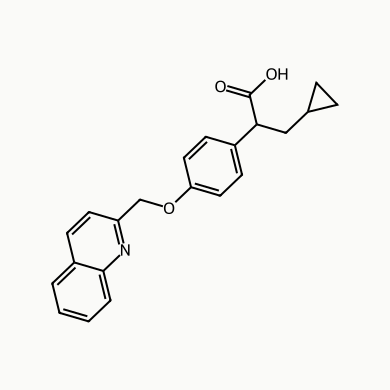 O=C(O)C(CC1CC1)c1ccc(OCc2ccc3ccccc3n2)cc1